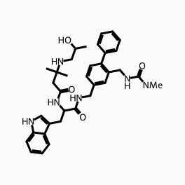 CNC(=O)NCc1cc(CNC(=O)C(Cc2c[nH]c3ccccc23)NC(=O)CC(C)(C)NCC(C)O)ccc1-c1ccccc1